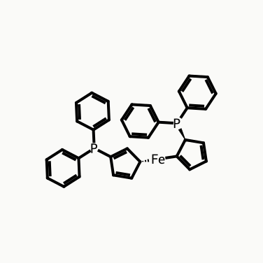 C1=C[C@H](P(c2ccccc2)c2ccccc2)[C]([Fe][C@@H]2C=CC(P(c3ccccc3)c3ccccc3)=C2)=C1